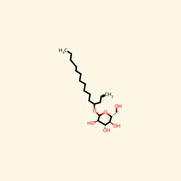 C=CCC(CCCCCCCCCCC)OC1O[C@H](CO)[C@@H](O)[C@H](O)[C@H]1O